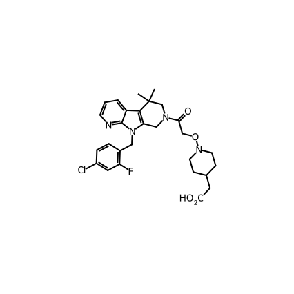 CC1(C)CN(C(=O)CON2CCC(CC(=O)O)CC2)Cc2c1c1cccnc1n2Cc1ccc(Cl)cc1F